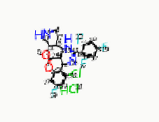 COC(=O)C1=C(C2CCNCC2)NC(c2c(F)cc(F)cc2F)=NC1c1ccc(F)cc1Cl.Cl